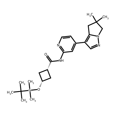 CC1(C)Cc2c(-c3ccnc(NC(=O)[C@H]4C[C@@H](O[Si](C)(C)C(C)(C)C)C4)c3)cnn2C1